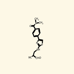 CN(C)C(=O)c1ccc(-c2csc(NCC(C#N)C=O)n2)cc1